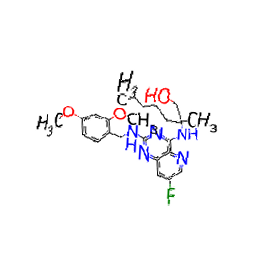 CCCCCC(C)(CO)Nc1nc(NCc2ccc(OC)cc2OC)nc2cc(F)cnc12